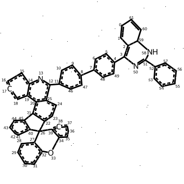 C1=CC2=C(c3ccc(-c4ccc(-c5nc6ccccc6c6c7c(ccc56)C5(c6ccccc6Oc6ccccc65)c5ccccc5-7)cc4)cc3)N=C(c3ccccc3)NC2C=C1